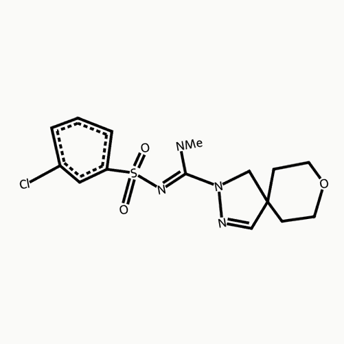 CN/C(=N\S(=O)(=O)c1cccc(Cl)c1)N1CC2(C=N1)CCOCC2